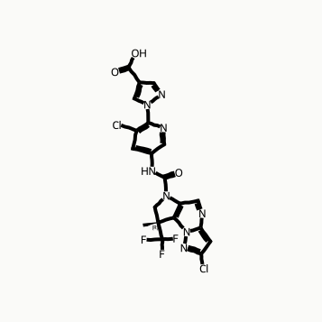 C[C@@]1(C(F)(F)F)CN(C(=O)Nc2cnc(-n3cc(C(=O)O)cn3)c(Cl)c2)c2cnc3cc(Cl)nn3c21